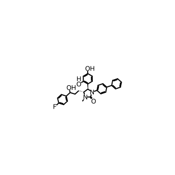 CN1C(=O)N(c2ccc(-c3ccccc3)cc2)[C@H](c2ccc(O)cc2O)[C@H]1CCC(O)c1ccc(F)cc1